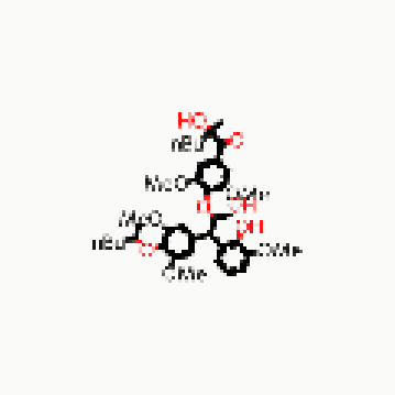 CCCCC(C)Oc1c(OC)cc(C(c2cccc(OC)c2O)C(CO)Oc2c(OC)cc(C(=O)C(C)(O)CCCC)cc2OC)cc1OC